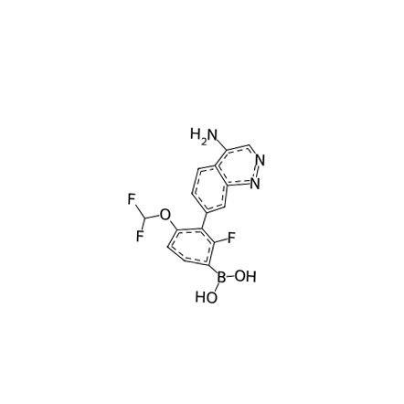 Nc1cnnc2cc(-c3c(OC(F)F)ccc(B(O)O)c3F)ccc12